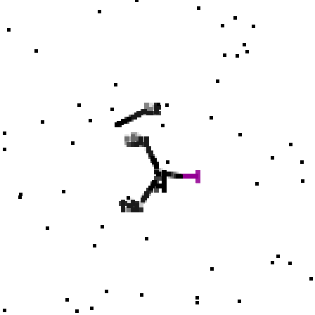 CC(C)(C)[SiH](I)C(C)(C)C.CCC